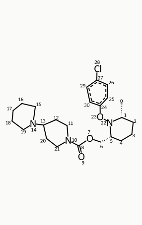 C[C@@H]1CCC[C@H](COC(=O)N2CCC(N3CCCCC3)CC2)N1Oc1ccc(Cl)cc1